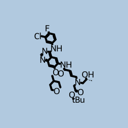 C[C@@H](O)CN(CC=CC(=O)Nc1cc2c(Nc3ccc(F)c(Cl)c3)ncnc2cc1OCC1CCOCC1)CC(=O)OC(C)(C)C